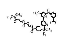 Cc1cc(Nc2cc(C(F)F)ccn2)nc(-c2ccc([C@](C)(O)[C@H]3CC[C@H](C(=O)OCOC(=O)OCCC(=O)N(C)C)CC3)nc2)c1